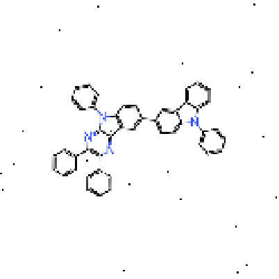 c1ccc(-c2nc3c4cc(-c5ccc6c(c5)c5ccccc5n6-c5ccccc5)ccc4n(-c4ccccc4)c3nc2-c2ccccc2)cc1